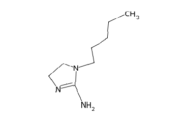 CCCCCN1CCN=C1N